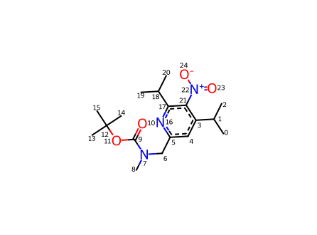 CC(C)c1cc(CN(C)C(=O)OC(C)(C)C)nc(C(C)C)c1[N+](=O)[O-]